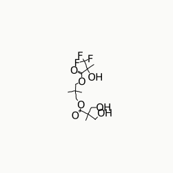 CC(C)(COC(=O)C(C)(CO)CO)COC(=O)C(C)(O)C(F)(F)F